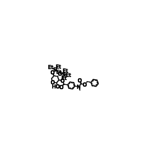 CC[Si](CC)(CC)O[C@@H]1[C@@H](OC(=O)c2ccc(N(C)C(=O)OCc3ccccc3)cc2)[C@@H](O)OC[C@H]1O[Si](CC)(CC)CC